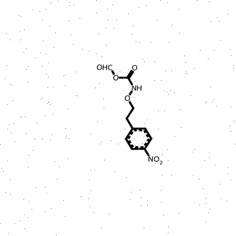 O=COC(=O)NOCCc1ccc([N+](=O)[O-])cc1